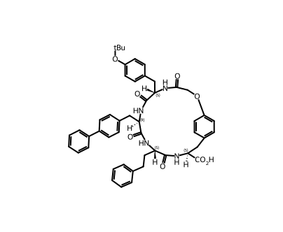 CC(C)(C)Oc1ccc(C[C@@H]2NC(=O)COc3ccc(cc3)C[C@@H](C(=O)O)NC(=O)[C@H](CCc3ccccc3)NC(=O)[C@@H](Cc3ccc(-c4ccccc4)cc3)NC2=O)cc1